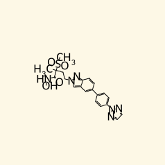 CC(CCn1cc2cc(-c3ccc(-n4nccn4)cc3)ccc2n1)(C(=O)NO)S(C)(=O)=O